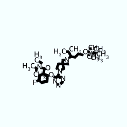 CCN(C(=O)c1cc(F)ccc1Oc1nncnc1N1CCC2(C1)CN(C(CCCO[Si](C)(C)C(C)(C)C)C(C)C)C2)C(C)C